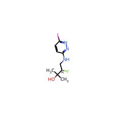 CC(C)(O)[C@H](F)CNc1ccc(I)nn1